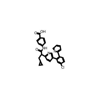 O=C(O)c1ccc(NC(=O)C(CC2CC2)c2ccc(-c3cc(Cl)ccc3-c3ccccn3)cn2)cc1